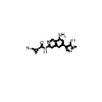 CC(C)c1c(-c2cc(N)c3cnc(NC(=O)C4CC4C#N)cc3c2)cnn1C